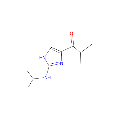 CC(C)Nc1nc(C(=O)C(C)C)c[nH]1